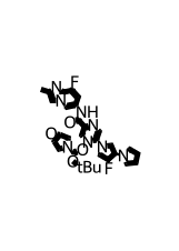 CC(C)(C)OC(=O)N1CC2OC2C1.Cc1cn2cc(NC(=O)c3cnc(N4C[C@@H](N5CCCC5)[C@@H](F)C4)cn3)cc(F)c2n1